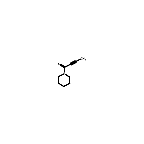 CC#CC(=O)N1C[CH]CCC1